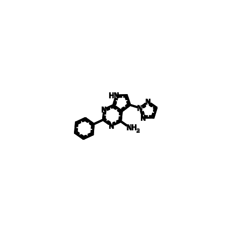 Nc1nc(-c2ccccc2)nc2[nH]cc(-n3nccn3)c12